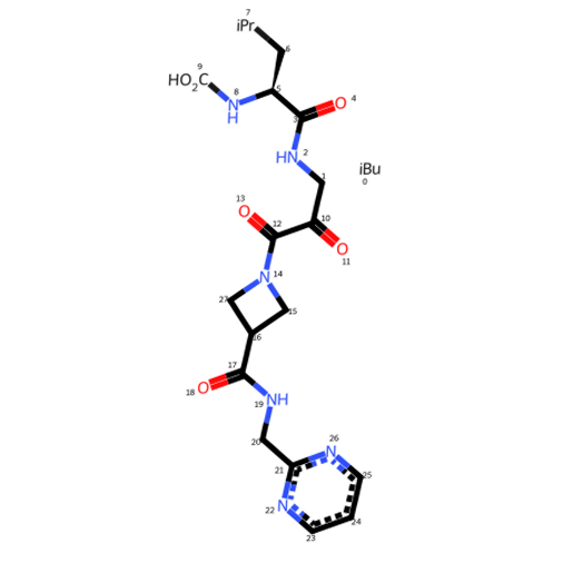 CC[C@H](C)C(NC(=O)[C@H](CC(C)C)NC(=O)O)C(=O)C(=O)N1CC(C(=O)NCc2ncccn2)C1